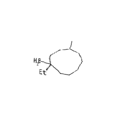 BC1(CC)CCCCCC(C)CC1